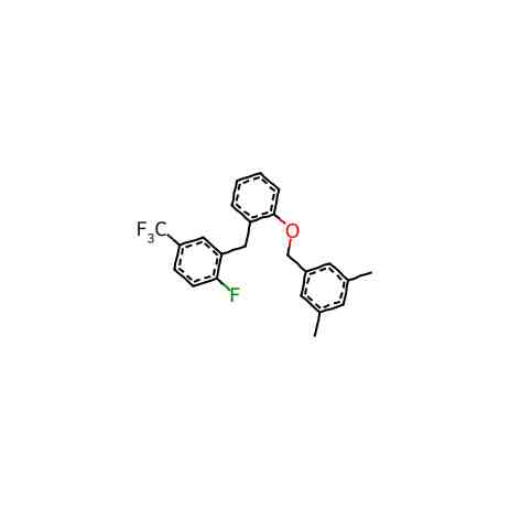 Cc1cc(C)cc(COc2ccccc2Cc2cc(C(F)(F)F)ccc2F)c1